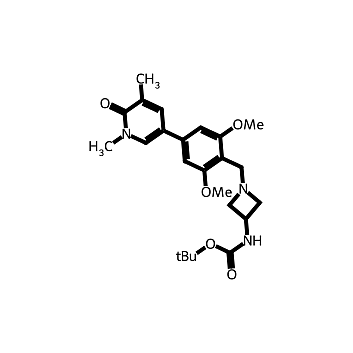 COc1cc(-c2cc(C)c(=O)n(C)c2)cc(OC)c1CN1CC(NC(=O)OC(C)(C)C)C1